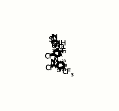 O=S(=O)(Nc1cscn1)c1cc(Cl)c(-n2nc(Cl)c3cc(C(F)(F)F)ccc32)cc1F